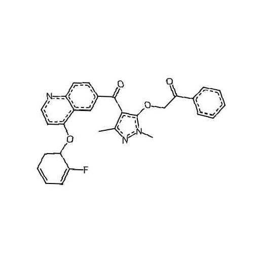 Cc1nn(C)c(OCC(=O)c2ccccc2)c1C(=O)c1ccc2nccc(OC3CC=CC=C3F)c2c1